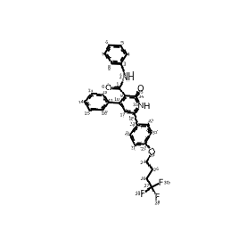 O=C(Nc1ccccc1)c1c(-c2ccccc2)cc(-c2ccc(OCCCC(F)(F)F)cc2)[nH]c1=O